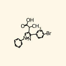 CC(C(=O)O)c1cn(-c2ccccc2)nc1-c1ccc(Br)cc1